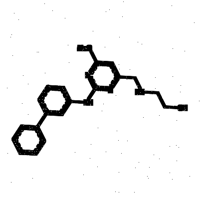 COc1cc(CNCCO)nc(Nc2cccc(-c3ccccc3)c2)n1